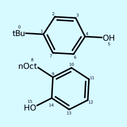 CC(C)(C)c1ccc(O)cc1.CCCCCCCCc1ccccc1O